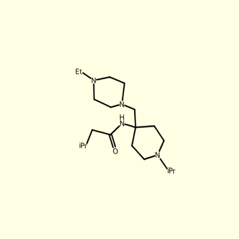 CCN1CCN(CC2(NC(=O)CC(C)C)CCN(C(C)C)CC2)CC1